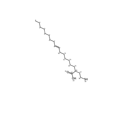 CCCCCCCCC=CCCCCCCC(CCS)C(=O)O